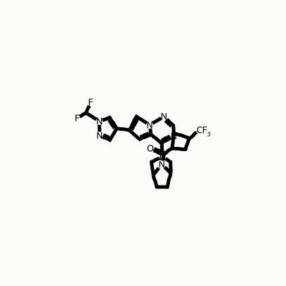 O=C(C1CC(C(F)(F)F)C1)N1C2CCC1CN(c1ncnn3cc(-c4cnn(C(F)F)c4)cc13)C2